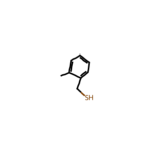 Cc1c[c]ccc1CS